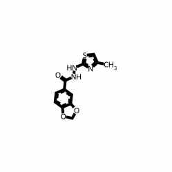 Cc1csc(NNC(=O)c2ccc3c(c2)OCO3)n1